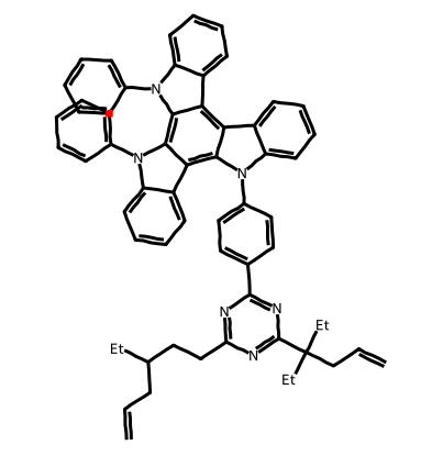 C=CCC(CC)CCc1nc(-c2ccc(-n3c4ccccc4c4c5c6ccccc6n(-c6ccccc6)c5c5c(c6ccccc6n5-c5ccccc5)c43)cc2)nc(C(CC)(CC)CC=C)n1